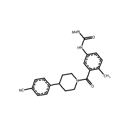 CNC(=O)Nc1ccc(C)c(C(=O)N2CCC(c3ccc(C#N)cc3)CC2)c1